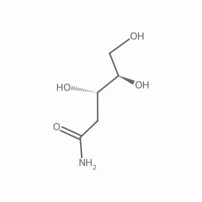 NC(=O)C[C@H](O)[C@H](O)CO